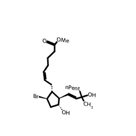 CCCCCC(C)(O)/C=C/[C@@H]1[C@@H](C/C=C\CCCC(=O)OC)[C@H](Br)C[C@H]1O